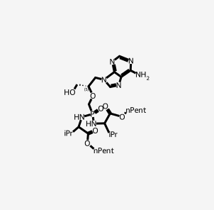 CCCCCOC(=O)C(NP(=O)(CO[C@H](CO)Cn1cnc2c(N)ncnc21)NC(C(=O)OCCCCC)C(C)C)C(C)C